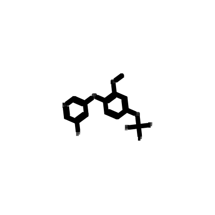 COc1cc(OC(F)(F)F)ccc1Oc1cncc(F)c1